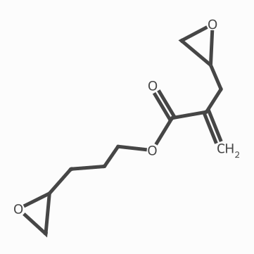 C=C(CC1CO1)C(=O)OCCCC1CO1